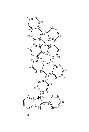 Cc1cccc2c1nc(-c1ccccc1)n2-c1ccc(C2c3ccccc3C(c3cccc([Si](c4ccccc4)(c4ccccc4)c4ccc5ccccc5c4)c3)C3C=CC=CC23)cc1